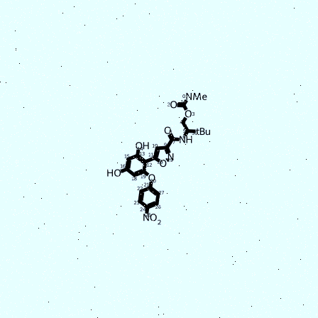 CNC(=O)OCC(NC(=O)c1cc(-c2c(O)cc(O)cc2Oc2ccc([N+](=O)[O-])cc2)on1)C(C)(C)C